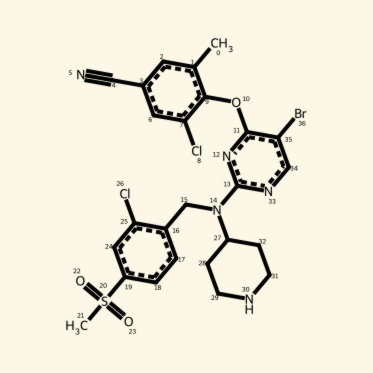 Cc1cc(C#N)cc(Cl)c1Oc1nc(N(Cc2ccc(S(C)(=O)=O)cc2Cl)C2CCNCC2)ncc1Br